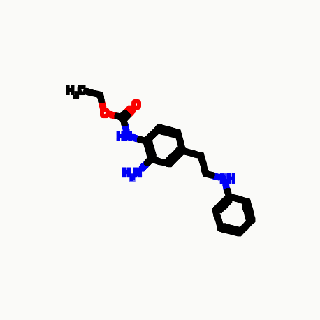 CCOC(=O)Nc1ccc(CCNc2ccccc2)cc1N